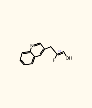 O/C=C(\F)Cc1cnc2ccccc2c1